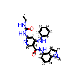 CCNC(=O)Nc1cc(Nc2ccccc2)c(C(=O)Nc2cccc3c2ccn3C)cn1